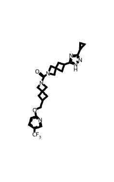 O=C(N1CC2(CC(COc3ccc(C(F)(F)F)cn3)C2)C1)N1CC2(CC(c3nc(C4CC4)n[nH]3)C2)C1